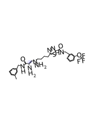 Cc1cccc(CNC(=O)/C(N)=C/N(N)CCCCc2nnc(C(=O)NCc3cccc(OC(F)(F)F)c3)s2)c1